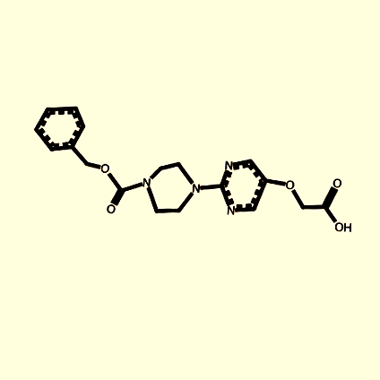 O=C(O)COc1cnc(N2CCN(C(=O)OCc3ccccc3)CC2)nc1